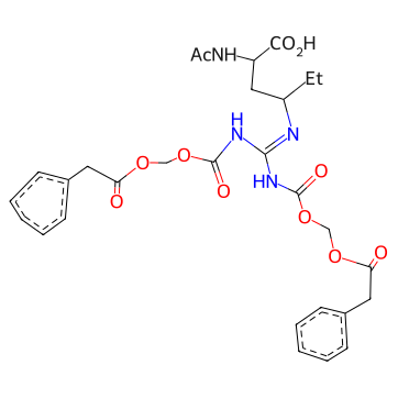 CCC(CC(NC(C)=O)C(=O)O)N=C(NC(=O)OCOC(=O)Cc1ccccc1)NC(=O)OCOC(=O)Cc1ccccc1